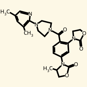 Cc1cnc(N2CCN(C(=O)c3ccc(N4C(=O)OCC4C)cc3N3CCOC3=O)CC2)c(C)c1